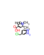 CC(=CC(C)N(C)C)C(=O)O.ClCc1ccccc1.N